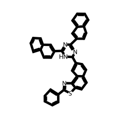 c1ccc(-c2nc3c(ccc4ccc(C5N=C(c6ccc7ccccc7c6)N=C(c6ccc7ccccc7c6)N5)cc43)s2)cc1